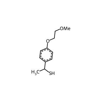 COCCOc1ccc(C(C)S)cc1